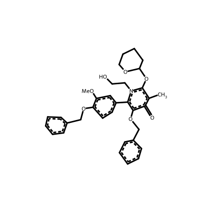 COc1cc(-c2c(OCc3ccccc3)c(=O)c(C)c(OC3CCCCO3)n2CCO)ccc1OCc1ccccc1